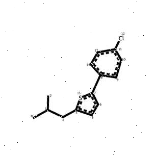 CC(C)Cc1ccc(-c2ccc(Cl)cc2)s1